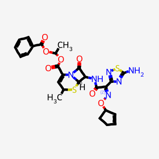 CC(OC(=O)C1=CC(C)S[C@@H]2C(NC(=O)/C(=N\OC3C=CCC3)c3nsc(N)n3)C(=O)N12)OC(=O)c1ccccc1